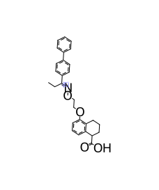 CC/C(=N\OCCOc1cccc2c1CCCC2C(=O)O)c1ccc(-c2ccccc2)cc1